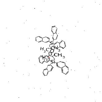 CC(C)(C[Si](c1ccc2ccccc2c1)(c1ccc2ccccc2c1)c1ccc2ccccc2c1)OOC(C)(C)C[Si](c1ccc2ccccc2c1)(c1ccc2ccccc2c1)c1ccc2ccccc2c1